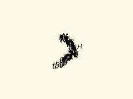 Cc1nn(CC(=O)Nc2ccc(-c3cnccn3)cn2)c(C)c1C1=CCN(C(=O)OC(C)(C)C)CC1